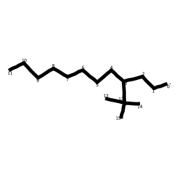 [CH2]CCC(CCCCCCCC)C(C)(C)C